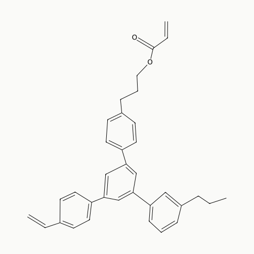 C=CC(=O)OCCCc1ccc(-c2cc(-c3ccc(C=C)cc3)cc(-c3cccc(CCC)c3)c2)cc1